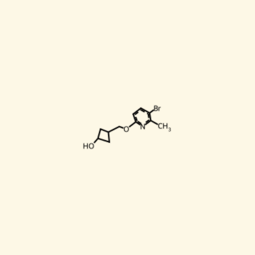 Cc1nc(OCC2CC(O)C2)ccc1Br